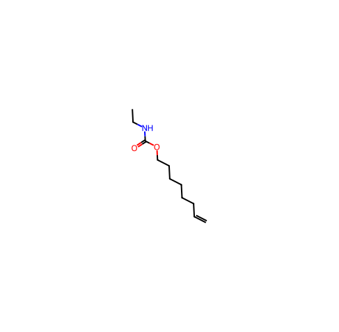 C=CCCCCCCOC(=O)NCC